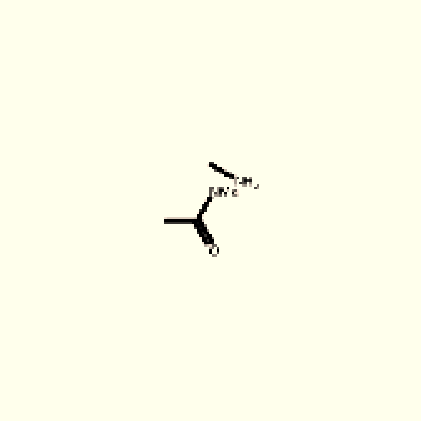 CN.CNC(C)=O